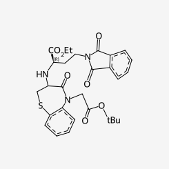 CCOC(=O)[C@@H](CCN1C(=O)c2ccccc2C1=O)NC1CSc2ccccc2N(CC(=O)OC(C)(C)C)C1=O